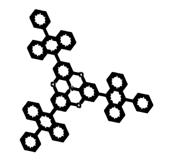 c1ccc(-c2c3ccccc3c(-c3cc4c5c(c3)Oc3cc(-c6c7ccccc7c(-c7ccccc7)c7ccccc67)cc6c3N5c3c(cc(-c5c7ccccc7c(-c7ccccc7)c7ccccc57)cc3O6)O4)c3ccccc23)cc1